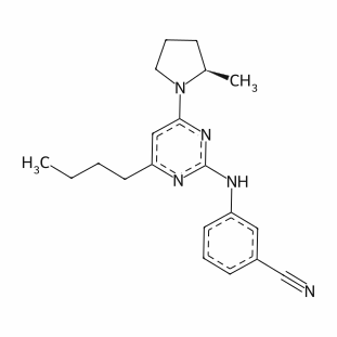 CCCCc1cc(N2CCC[C@H]2C)nc(Nc2cccc(C#N)c2)n1